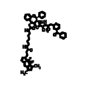 Cc1cc(C)n2c1C=C1C=CC(CCC(=O)NCCCCCNC(=O)CN3C(=O)[C@@H](NC(=O)[C@@H](C)NC(=O)Cc4cccc(C(=O)c5ccccc5)c4)[C@@H](c4ccccc4)Oc4ccccc43)=[N+]1[B-]2(F)F